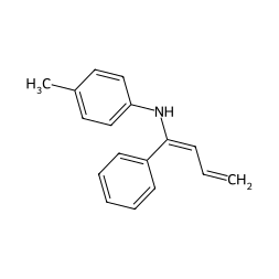 C=C/C=C(/Nc1ccc(C)cc1)c1ccccc1